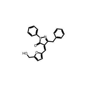 O=C1/C(=C\c2ccc(CO)o2)C(Cc2ccccc2)=NN1c1ccccc1